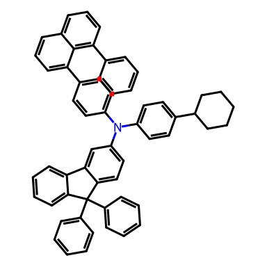 c1ccc(-c2cccc3cccc(-c4ccc(N(c5ccc(C6CCCCC6)cc5)c5ccc6c(c5)-c5ccccc5C6(c5ccccc5)c5ccccc5)cc4)c23)cc1